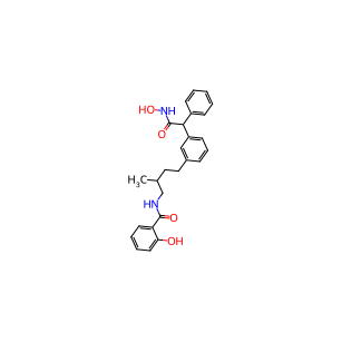 CC(CCc1cccc(C(C(=O)NO)c2ccccc2)c1)CNC(=O)c1ccccc1O